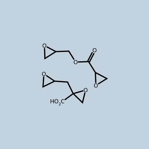 O=C(O)C1(CC2CO2)CO1.O=C(OCC1CO1)C1CO1